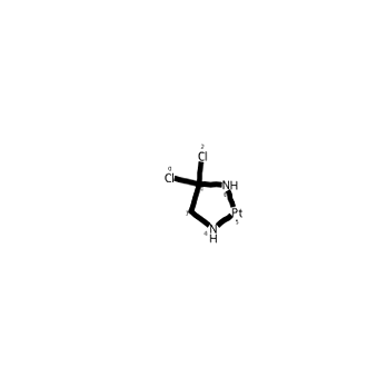 ClC1(Cl)C[NH][Pt][NH]1